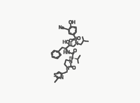 Cc1nc(CN2CCN([C@H](C(=O)N[C@@H](Cc3ccccc3)[C@@H](O)CN(CC(C)C)S(=O)(=O)c3ccc(O)c(C#N)c3)C(C)C)C2=O)cs1